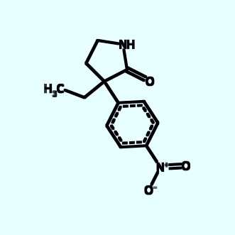 CCC1(c2ccc([N+](=O)[O-])cc2)CCNC1=O